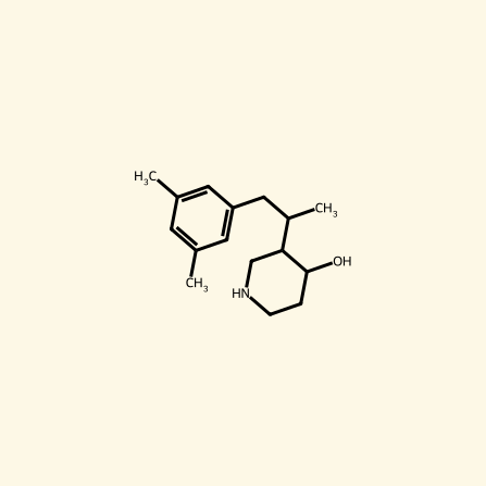 Cc1cc(C)cc(CC(C)C2CNCCC2O)c1